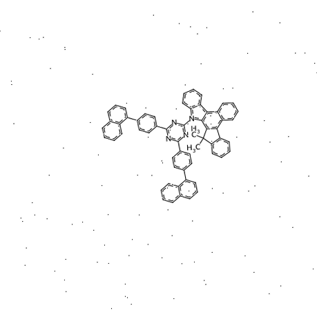 CC1(C)c2ccccc2-c2c1c1c(c3ccccc23)c2ccccc2n1-c1nc(-c2ccc(-c3cccc4ccccc34)cc2)nc(-c2ccc(-c3cccc4ccccc34)cc2)n1